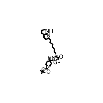 COC(=O)[C@H](CCCCCCCc1ccc2c(n1)NCCC2)NC(=O)C1(C)CCN(C(=O)OC(C)(C)C)CC1